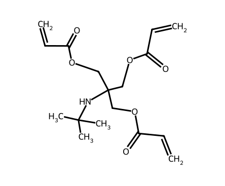 C=CC(=O)OCC(COC(=O)C=C)(COC(=O)C=C)NC(C)(C)C